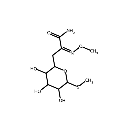 CON=C(CC1OC(SC)C(O)C(O)C1O)C(N)=O